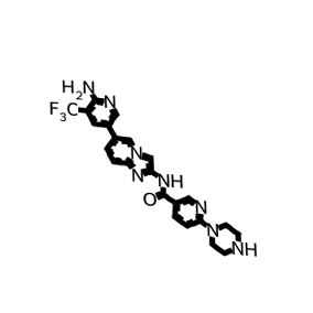 Nc1ncc(-c2ccc3nc(NC(=O)c4ccc(N5CCNCC5)nc4)cn3c2)cc1C(F)(F)F